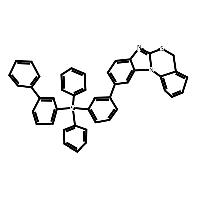 c1ccc(-c2cccc([Si](c3ccccc3)(c3ccccc3)c3cccc(-c4ccc5nc6n(c5c4)-c4ccccc4CS6)c3)c2)cc1